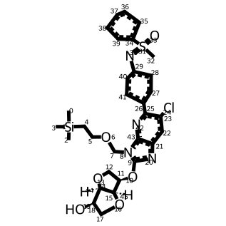 C[Si](C)(C)CCOCn1c(O[C@@H]2CO[C@H]3[C@@H]2OC[C@H]3O)nc2cc(Cl)c(-c3ccc(N=S(C)(=O)c4ccccc4)cc3)nc21